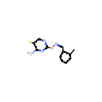 Cc1ccccc1/C=N\Oc1ncc(F)c(N)n1